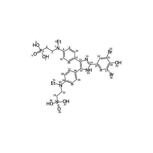 CCN(CCP(=O)(O)O)c1ccc(-c2nc(-c3cc(Br)c(O)c(Br)c3)[nH]c2-c2ccc(N(CC)CCP(=O)(O)O)cc2)cc1